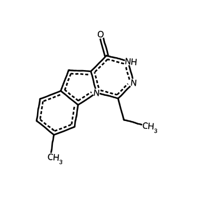 CCc1n[nH]c(=O)c2cc3ccc(C)cc3n12